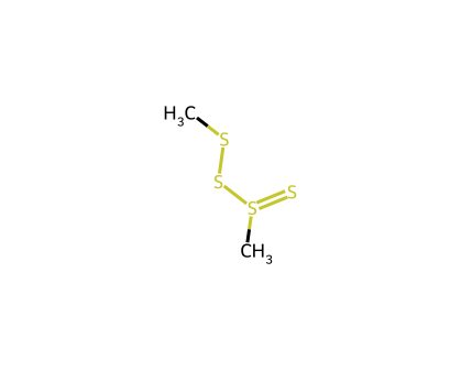 CSSS(C)=S